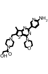 Cc1c(CN2CCN(C(=O)CO)CC2)sc2c(N3CCOCC3)nc(-c3ccc(N)nc3)nc12